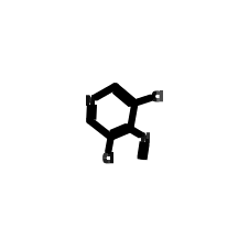 C=Nc1c(Cl)cncc1Cl